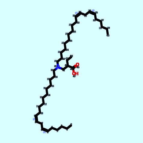 CCCCC/C=C\C/C=C\CCCCCCCCCCN(CCCCCCCCCC/C=C\C/C=C\CCCCC)CC(CC)C(=O)O